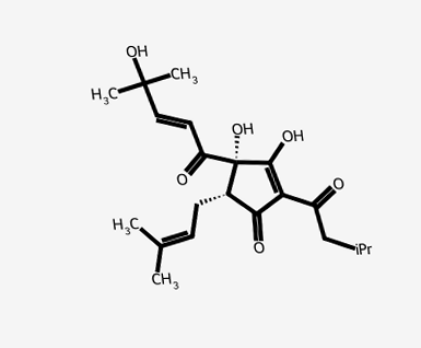 CC(C)=CC[C@H]1C(=O)C(C(=O)CC(C)C)=C(O)[C@]1(O)C(=O)C=CC(C)(C)O